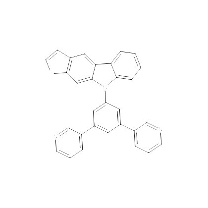 c1cncc(-c2cc(-c3cccnc3)cc(-n3c4ccccc4c4cc5ccsc5cc43)c2)c1